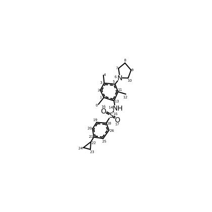 Cc1cc(C)c(N2CCCC2)c(C)c1NS(=O)(=O)c1ccc(C2CC2)cc1